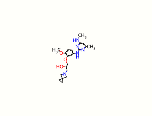 CNc1cc(C)nc(Nc2ccc(OC)c(OC[C@H](O)CN3CC4(CC4)C3)c2)n1